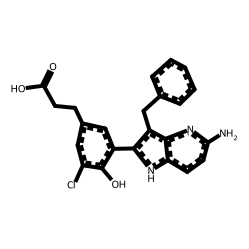 Nc1ccc2[nH]c(-c3cc(CCC(=O)O)cc(Cl)c3O)c(Cc3ccccc3)c2n1